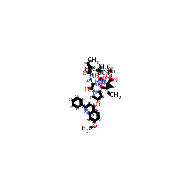 C=C[C@@]1(C(=O)[C@@H]2C[C@@H](Oc3cc(-c4ccccc4)nc4cc(OC)ccc34)CN2C(=O)[C@H](CNC(=O)C=CC)NC(=O)OC(C)(C)C)C[C@]1(N)C(=O)OCC